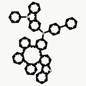 c1ccc(-c2ccc(N(c3ccc4c(c3)c3ccccc3c3ccccc3c3ccccc3c3c4ccc4sc5ccccc5c43)c3ccc4c(c3)c3ccccc3n4-c3ccccc3)cc2)cc1